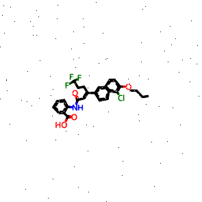 CCCCOc1ccc2cc(/C(=C/C(=O)Nc3ccccc3C(=O)O)CCC(F)(F)F)ccc2c1Cl